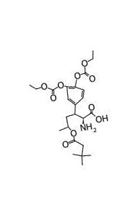 CCOC(=O)Oc1ccc(C(CC(C)OC(=O)CC(C)(C)C)[C@H](N)C(=O)O)cc1OC(=O)OCC